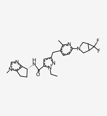 CCn1nc(Cc2ccc(N3CC4C(C3)C4(F)F)nc2C)cc1C(=O)N[C@@H]1CCc2c1ncn2C